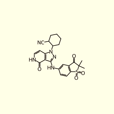 CC1(C)C(=O)c2cc(Nc3nn(C4CCCCC4C#N)c4cc[nH]c(=O)c34)ccc2S1(=O)=O